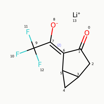 O=C1CC2CC2/C1=C(/[O-])C(F)(F)F.[Li+]